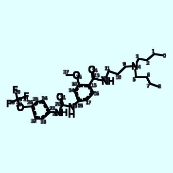 CCCCN(CCCC)CCCNC(=O)c1ccc(NC(=O)Nc2ccc(OC(F)(F)F)cc2)cc1OC